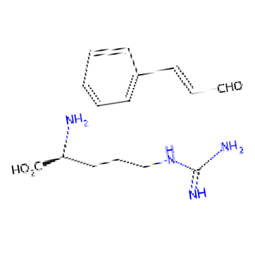 N=C(N)NCCC[C@H](N)C(=O)O.O=C/C=C/c1ccccc1